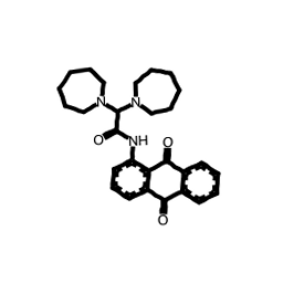 O=C1c2ccccc2C(=O)c2c(NC(=O)C(N3CCCCCC3)N3CCCCCC3)cccc21